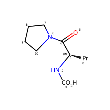 CC(C)[C@@H](NC(=O)O)C(=O)N1CCCC1